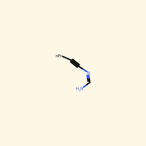 CCCC#C/N=C\N